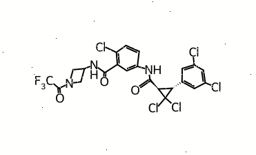 O=C(NC1CN(C(=O)C(F)(F)F)C1)c1cc(NC(=O)[C@H]2[C@H](c3cc(Cl)cc(Cl)c3)C2(Cl)Cl)ccc1Cl